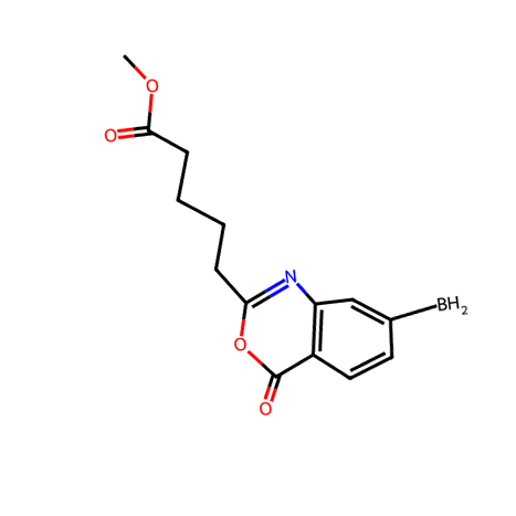 Bc1ccc2c(=O)oc(CCCCC(=O)OC)nc2c1